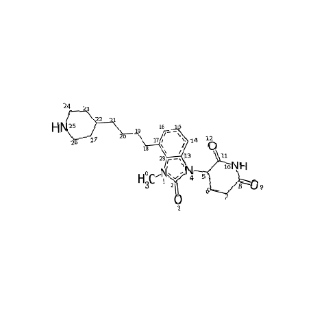 Cn1c(=O)n(C2CCC(=O)NC2=O)c2cccc(CCCCC3CCNCC3)c21